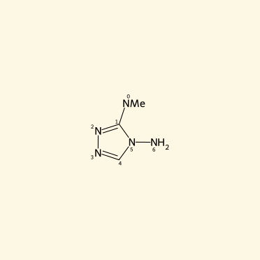 CNc1nncn1N